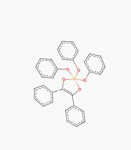 c1ccc(OP2(Oc3ccccc3)(Oc3ccccc3)OC(c3ccccc3)=C(c3ccccc3)O2)cc1